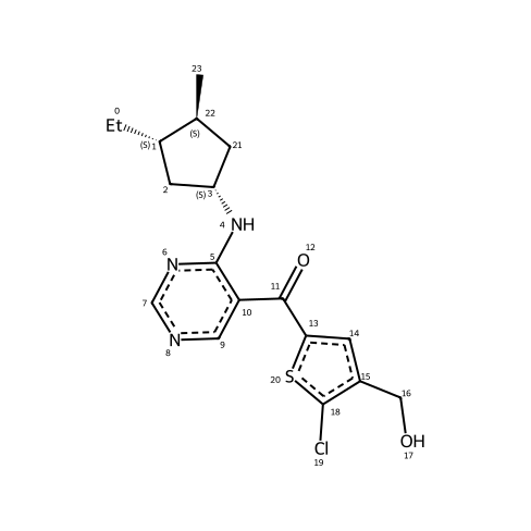 CC[C@H]1C[C@@H](Nc2ncncc2C(=O)c2cc(CO)c(Cl)s2)C[C@@H]1C